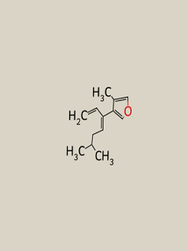 C=C/C(=C\CC(C)C)c1cocc1C